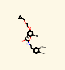 COc1ccc(CCNC(Oc2ccc(OCCOCC3CC3)cc2C#N)C(C)O)cc1OC